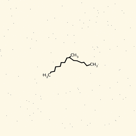 [CH2]CCCCCCCC(C)CCCCC[CH2]